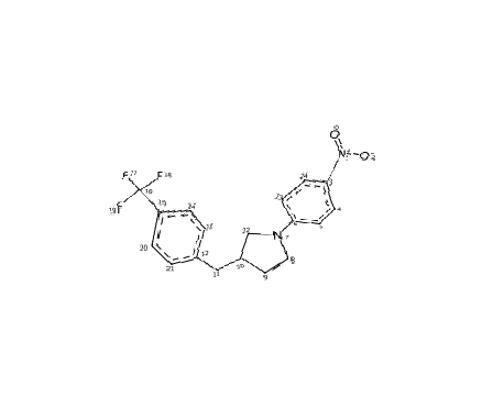 O=[N+]([O-])c1ccc(N2CCC(Cc3ccc(C(F)(F)F)cc3)C2)cc1